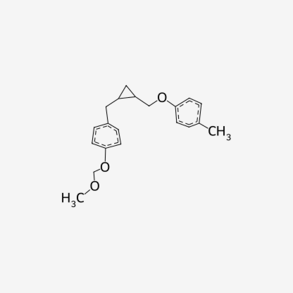 COCOc1ccc(CC2CC2COc2ccc(C)cc2)cc1